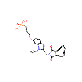 CCn1c(CN2C(=O)c3ccccc3C2=O)nc2ccc(OCCCP(=O)(O)O)cc21